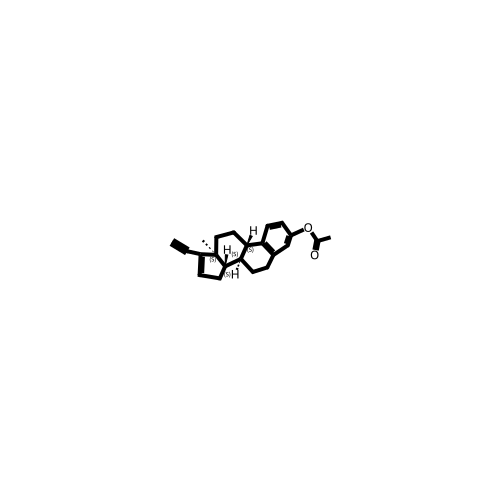 C#CC1=CC[C@H]2[C@@H]3CCc4cc(OC(C)=O)ccc4[C@H]3CC[C@]12C